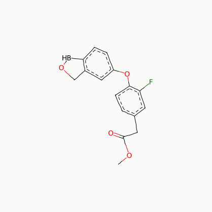 COC(=O)Cc1ccc(Oc2ccc3c(c2)COB3)c(F)c1